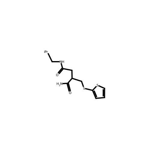 CC(C)CNC(=O)CC(CSc1cccs1)C(N)=O